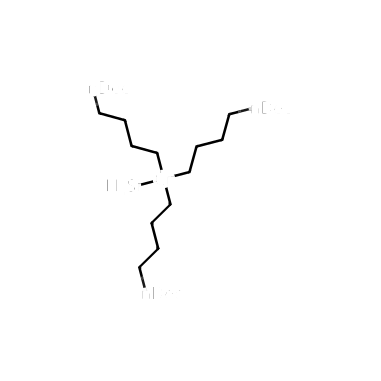 CCCCCCCCCCCCC[CH2][Cr]([SiH3])([CH2]CCCCCCCCCCCCC)[CH2]CCCCCCCCCCCCC